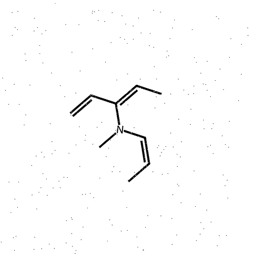 C=C/C(=C/C)N(C)/C=C\C